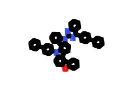 c1ccc(-c2ccc(-c3nc(-n4c5ccccc5c5c4ccc4c6c7c(ccc6n(-c6ccc(-c8ccccc8)cc6)c45)oc4ccccc47)nc4ccccc34)cc2)cc1